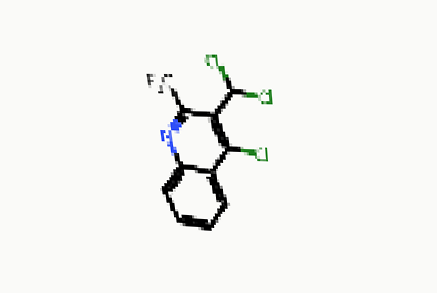 FC(F)(F)c1nc2ccccc2c(Cl)c1C(Cl)Cl